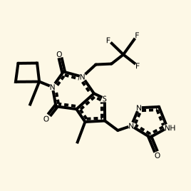 Cc1c(Cn2nc[nH]c2=O)sc2c1c(=O)n(C1(C)CCC1)c(=O)n2CCC(F)(F)F